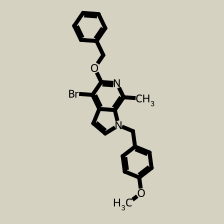 COc1ccc(Cn2ccc3c(Br)c(OCc4ccccc4)nc(C)c32)cc1